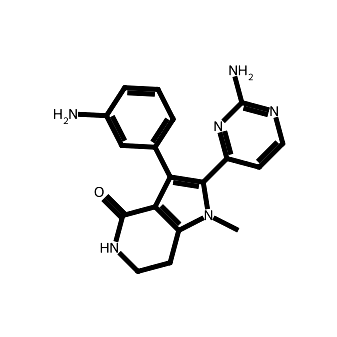 Cn1c2c(c(-c3cccc(N)c3)c1-c1ccnc(N)n1)C(=O)NCC2